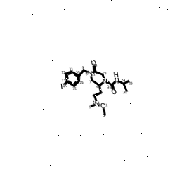 CON(C)CCC1CN(Cc2ccc(F)cc2)C(=O)CN1C(=O)NC(C)C